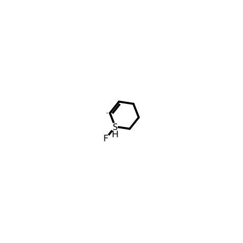 F[SH]1[C]=CCCC1